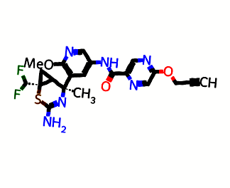 C#CCOc1cnc(C(=O)Nc2cnc(OC)c([C@@]3(C)N=C(N)S[C@@]4(C(F)F)CC43)c2)cn1